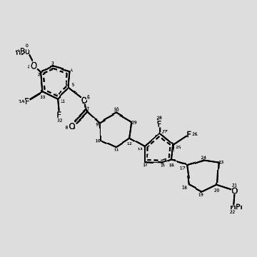 CCCCOc1ccc(OC(=O)C2CCC(c3ccc(C4CCC(OCCC)CC4)c(F)c3F)CC2)c(F)c1F